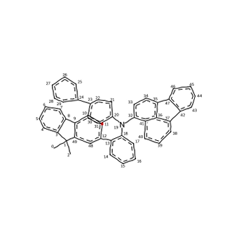 CC1(C)c2ccccc2-c2ccc(-c3ccccc3N(c3ccc(-c4ccccc4)cc3)c3ccc4c5c(cccc35)-c3ccccc3-4)cc21